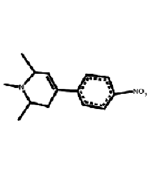 CC1C=C(c2ccc([N+](=O)[O-])cc2)CC(C)N1C